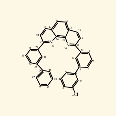 Clc1cccc(-c2cccc(-c3ccc4ccc5ccc(-c6cccc(-c7ccccc7)c6)nc5c4n3)c2)c1